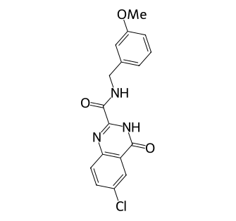 COc1cccc(CNC(=O)c2nc3ccc(Cl)cc3c(=O)[nH]2)c1